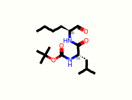 CCCC[C@@H](C=O)NC(=O)[C@H](CC(C)C)NC(=O)OC(C)(C)C